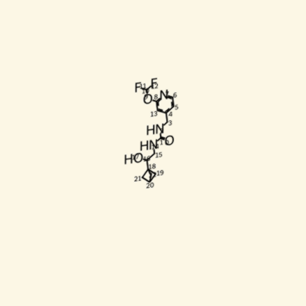 O=C(NCc1ccnc(OC(F)F)c1)NCC(O)C12CC(C1)C2